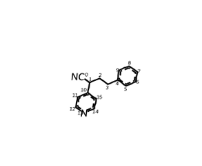 N#CC(CCc1ccccc1)c1ccncc1